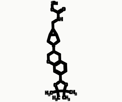 CC(C)(C)OC(=O)NCC1C2CN(C3COc4cc(B5OC(C)(C)C(C)(C)O5)ccc4C3)CC12